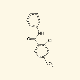 O=C(Nc1ccccc1)c1ccc([N+](=O)[O-])cc1Cl